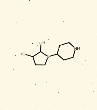 OC1CCN(C2CCNCC2)C1O